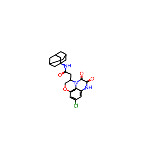 O=C(CC1COc2cc(Cl)cc3[nH]c(=O)c(=O)n1c23)NC12CC3CC(CC(C3)C1)C2